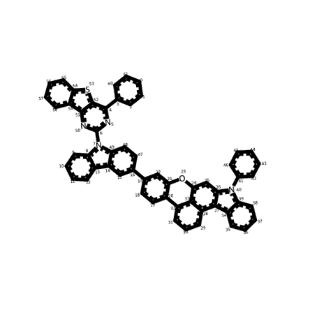 c1ccc(-c2nc(-n3c4ccccc4c4cc(-c5ccc6c(c5)Oc5cc7c(c8cccc-6c58)c5ccccc5n7-c5ccccc5)ccc43)nc3c2sc2ccccc23)cc1